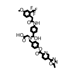 COc1ccc(CC(=O)Nc2ccc(C(O)N(CC(=O)O)Cc3ccc(OC(=O)c4ccc(-c5nnc(C)o5)cn4)cc3)cc2)c(C(F)(F)F)c1